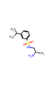 CC(C)c1cccc(S(=O)(=O)NC[C@@H](C)N)c1